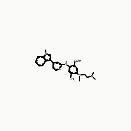 COc1cc(N(C)CCN(C)C)c([N+](=O)[O-])cc1Nc1cc(-c2cn(C)c3ccccc23)ccn1